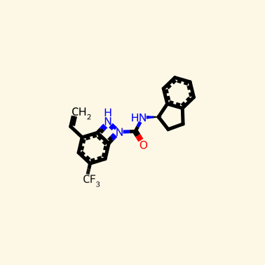 C=Cc1cc(C(F)(F)F)cc2c1[nH]n2C(=O)N[C@@H]1CCc2ccccc21